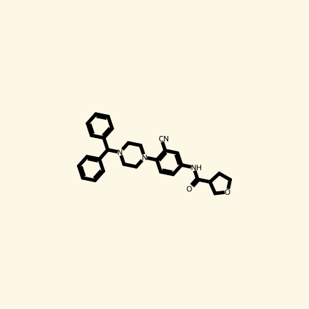 N#Cc1cc(NC(=O)C2CCOC2)ccc1N1CCN(C(c2ccccc2)c2ccccc2)CC1